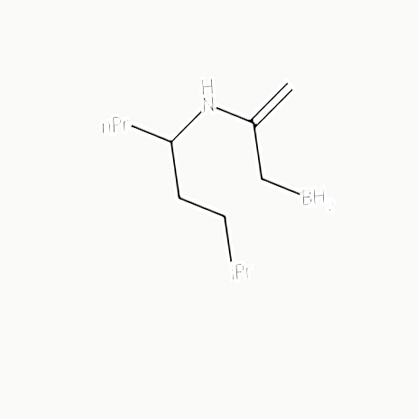 BCC(=C)NC(CCC)CCC(C)C